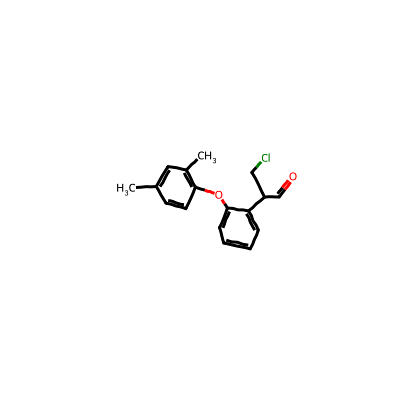 Cc1ccc(Oc2ccccc2C(C=O)CCl)c(C)c1